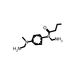 CCCC(=O)N(CN)c1ccc(N(C)CN)cc1